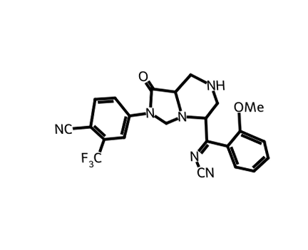 COc1ccccc1C(=NC#N)C1CNCC2C(=O)N(c3ccc(C#N)c(C(F)(F)F)c3)CN21